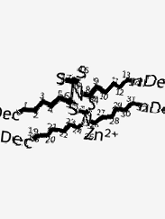 CCCCCCCCCCCCCCCCN(CCCCCCCCCCCCCCCC)C(=S)[S-].CCCCCCCCCCCCCCCCN(CCCCCCCCCCCCCCCC)C(=S)[S-].[Zn+2]